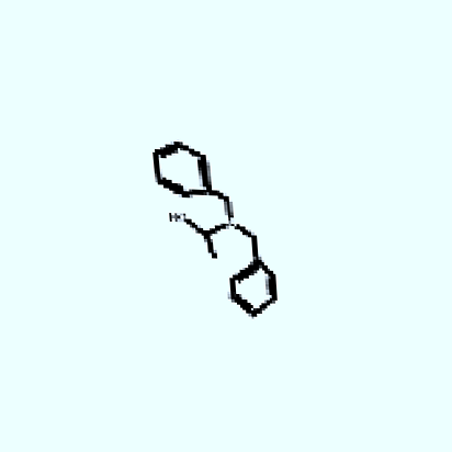 CC(O)N(Cc1ccccc1)Cc1ccccc1